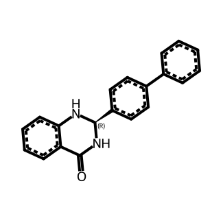 O=C1N[C@H](c2ccc(-c3ccccc3)cc2)Nc2ccccc21